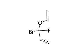 C=COC(F)(Br)C=C